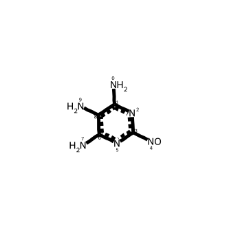 Nc1nc(N=O)nc(N)c1N